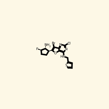 N[C@H]1[C@H](F)CC[C@@H]1c1oc2c(NCc3cccs3)nc(Cl)nc2c1Br